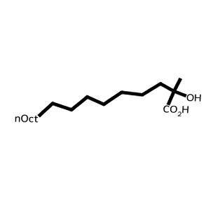 CCCCCCCCCCCCCCCC(C)(O)C(=O)O